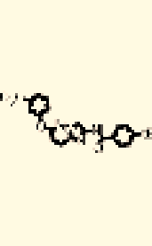 CC(C)(C)c1ccc(C(=O)Nc2cn3nc(Oc4cccc(C(=O)O)c4)ccc3n2)cc1